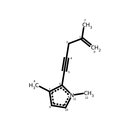 C=C(C)CC#Cc1c(C)ccn1C